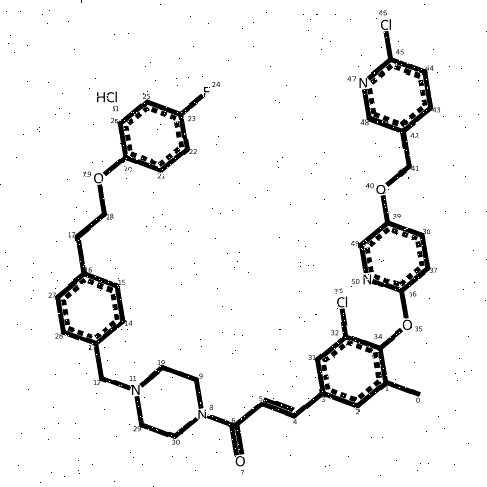 Cc1cc(C=CC(=O)N2CCN(Cc3ccc(CCOc4ccc(F)cc4)cc3)CC2)cc(Cl)c1Oc1ccc(OCc2ccc(Cl)nc2)cn1.Cl